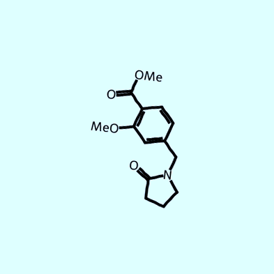 COC(=O)c1ccc(CN2CCCC2=O)cc1OC